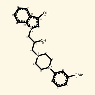 COc1cccc(N2CCN(CC(O)Cn3cc(O)c4ccccc43)CC2)c1